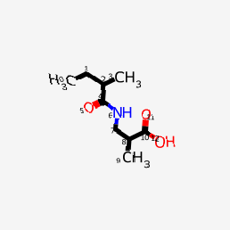 CCC(C)C(=O)NCC(C)C(=O)O